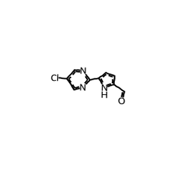 O=Cc1ccc(-c2ncc(Cl)cn2)[nH]1